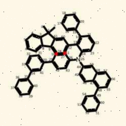 CC1(C)c2ccccc2-c2ccc(-c3c(-c4ccccc4)cccc3N(c3ccc(-c4cccc(-c5ccccc5)c4)cc3)c3ccc4c(-c5ccccc5)cccc4c3)cc21